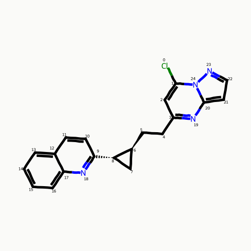 Clc1cc(CC[C@H]2C[C@@H]2c2ccc3ccccc3n2)nc2ccnn12